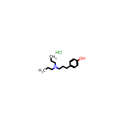 CCCN(CCC)CCCc1ccc(O)cc1.Cl